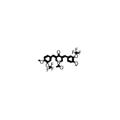 COc1ccc(C=C2CN(C(C)=O)CC(=Cc3ccc(OC)c(OC(F)(F)F)c3)C2=O)cc1OC(F)(F)F